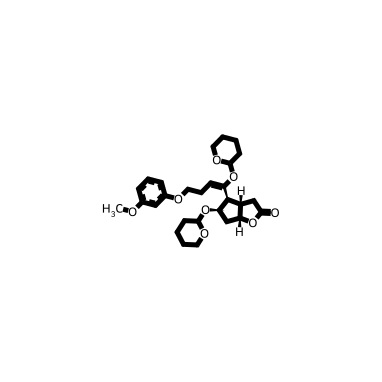 COc1cccc(OCC/C=C(/OC2CCCCO2)[C@H]2[C@@H]3CC(=O)O[C@@H]3C[C@H]2OC2CCCCO2)c1